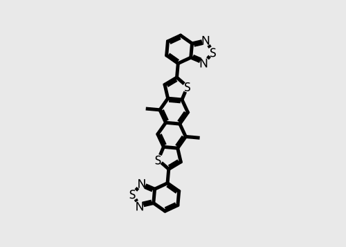 Cc1c2cc(-c3cccc4nsnc34)sc2cc2c(C)c3cc(-c4cccc5nsnc45)sc3cc12